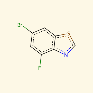 Fc1cc(Br)cc2scnc12